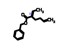 C=CCC/C(=C\C)C(=O)OCc1ccccc1